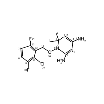 CC1(C)N=C(N)N=C(N)N1OCc1c(F)ccc(F)c1Cl